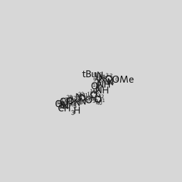 COc1ccc(-n2nc(C(C)(C)C)cc2NC(=O)Nc2ccc(Oc3ccnc(Nc4cccc(N=S(C)(C)=O)c4)n3)c3ccccc23)cn1